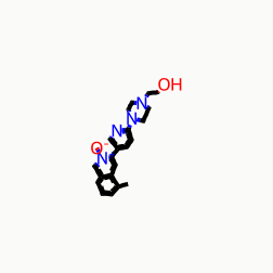 Cc1cccc2c[n+]([O-])c(-c3ccc(N4CCN(CCO)CC4)nc3)cc12